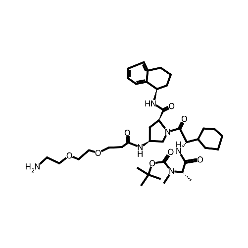 C[C@@H](C(=O)N[C@H](C(=O)N1C[C@@H](NC(=O)CCOCCOCCN)C[C@H]1C(=O)N[C@@H]1CCCc2ccccc21)C1CCCCC1)N(C)C(=O)OC(C)(C)C